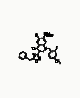 CNc1cc2c(cc1F)c(=O)c(-c1noc(Cc3ccccc3)n1)cn2Cc1ccc(C(F)(F)F)cc1F